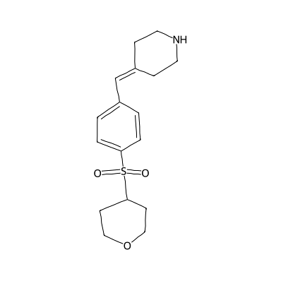 O=S(=O)(c1ccc(C=C2CCNCC2)cc1)C1CCOCC1